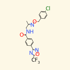 CC(CNC(=O)c1ccc(-c2noc(C(F)(F)F)n2)cc1)=NOCc1ccc(Cl)cc1